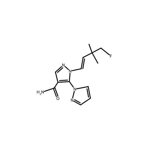 CC(C)(/C=C/n1ncc(C(N)=O)c1-n1cccn1)CF